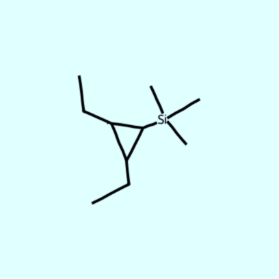 CC[C]1C(CC)C1[Si](C)(C)C